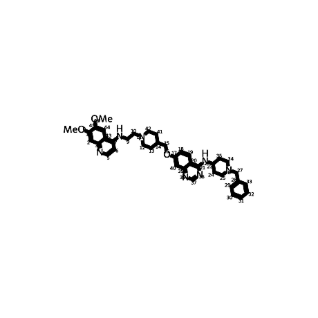 COc1cc2nccc(NCCN3CCC(COc4ccc5c(NC6CCN(Cc7ccccc7)CC6)ncnc5c4)CC3)c2cc1OC